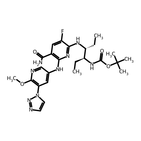 CC[C@H](NC(=O)OC(C)(C)C)[C@@H](CC)Nc1nc(Nc2cnc(OC)c(-n3ccnn3)c2)c(C(N)=O)cc1F